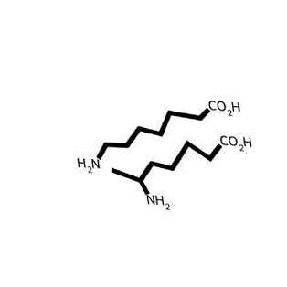 CC(N)CCCCC(=O)O.NCCCCCCC(=O)O